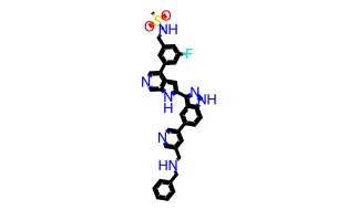 CS(=O)(=O)NCc1cc(F)cc(-c2cncc3[nH]c(-c4n[nH]c5ccc(-c6cncc(CNCc7ccccc7)c6)cc45)cc23)c1